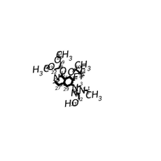 CCN1CN(c2cc(OC(C)C(F)(F)F)c3c(OC(COC)COC)nccc3c2)N=C1CO